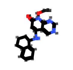 CCCCOn1c(=O)cc(NC2CCCc3ccccc32)c2cncnc21